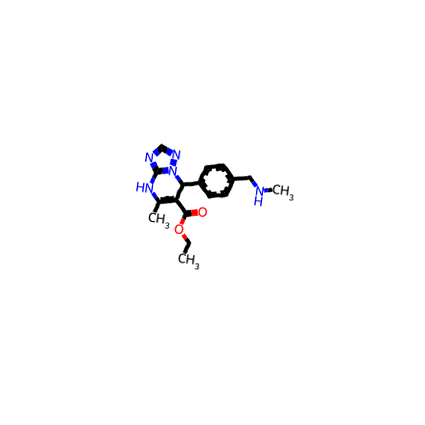 CCOC(=O)C1=C(C)Nc2ncnn2C1c1ccc(CNC)cc1